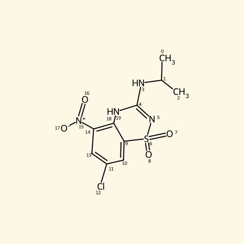 CC(C)NC1=NS(=O)(=O)c2cc(Cl)cc([N+](=O)[O-])c2N1